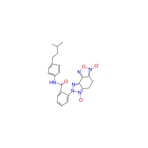 CC(C)CCc1ccc(NC(=O)c2ccccc2-n2nc3c([n+]2[O-])CCc2c-3no[n+]2[O-])cc1